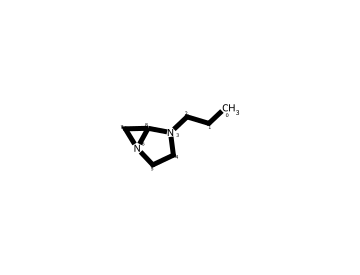 CCCN1CCN2CC12